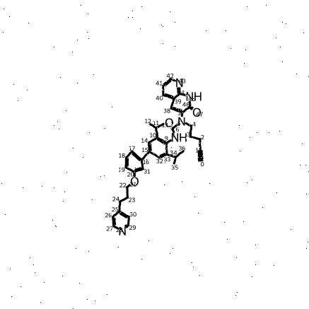 C#CCCCN(C(=O)Nc1c(C(C)C)cc(-c2cccc(OCCCc3ccncc3)c2)cc1C(C)C)c1cc2cccnc2[nH]c1=O